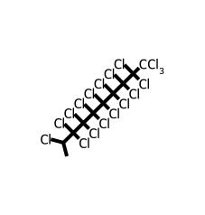 CC(Cl)C(Cl)(Cl)C(Cl)(Cl)C(Cl)(Cl)C(Cl)(Cl)C(Cl)(Cl)C(Cl)(Cl)C(Cl)(Cl)C(Cl)(Cl)Cl